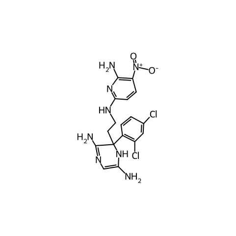 NC1=CN=C(N)C(CCNc2ccc([N+](=O)[O-])c(N)n2)(c2ccc(Cl)cc2Cl)N1